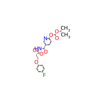 CC(C)OC(=O)Oc1ccc(C(=O)NS(=O)(=O)CCOc2ccc(F)cc2)cn1